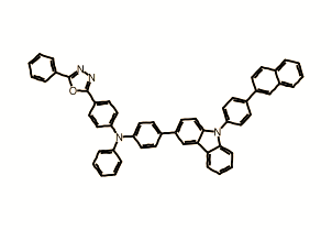 c1ccc(-c2nnc(-c3ccc(N(c4ccccc4)c4ccc(-c5ccc6c(c5)c5ccccc5n6-c5ccc(-c6ccc7ccccc7c6)cc5)cc4)cc3)o2)cc1